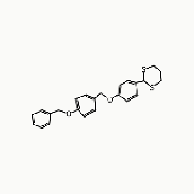 c1ccc(COc2ccc(COc3ccc(C4SCCCS4)cc3)cc2)cc1